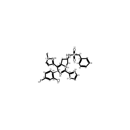 Cn1ccc(C2=C3CC(NS(=O)(=O)Cc4ccccc4)CN3C(c3nccs3)=N[C@H]2c2ccc(F)cc2Cl)n1